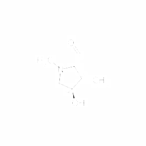 C[C@H]1[C@@H](C=O)N(C)C[C@@H]1O